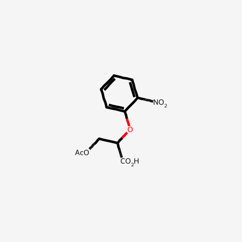 CC(=O)OCC(Oc1ccccc1[N+](=O)[O-])C(=O)O